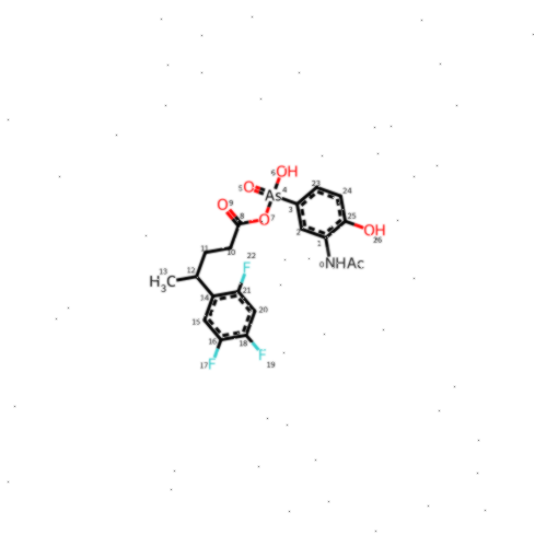 CC(=O)Nc1cc([As](=O)(O)OC(=O)CCC(C)c2cc(F)c(F)cc2F)ccc1O